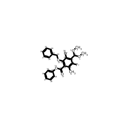 COC(OC)c1c(F)c(C)c(C(=O)Oc2ccccc2)c(OCc2ccccc2)c1Br